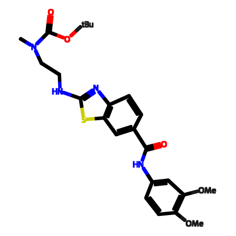 COc1ccc(NC(=O)c2ccc3nc(NCCN(C)C(=O)OC(C)(C)C)sc3c2)cc1OC